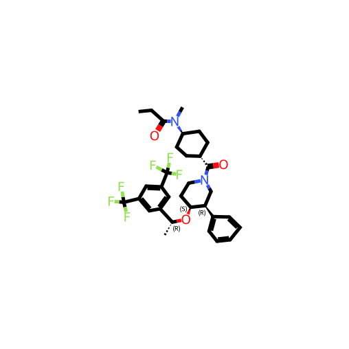 CCC(=O)N(C)[C@H]1CC[C@H](C(=O)N2CC[C@H](O[C@H](C)c3cc(C(F)(F)F)cc(C(F)(F)F)c3)[C@H](c3ccccc3)C2)CC1